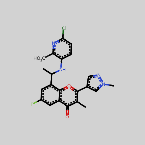 Cc1c(-c2cnn(C)c2)oc2c(C(C)Nc3ccc(Cl)nc3C(=O)O)cc(F)cc2c1=O